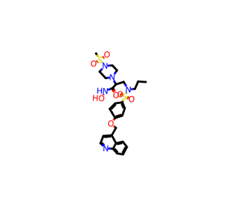 CCCN(CC(C(=O)NO)N1CCN(S(C)(=O)=O)CC1)S(=O)(=O)c1ccc(OCc2ccnc3ccccc23)cc1